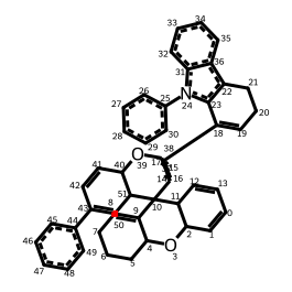 C1=CC2OC3CCCC=C3C3(C2C=C1)C1C=CC(C2=CCCc4c2n(-c2ccccc2)c2ccccc42)=CC1OC1C=CC(c2ccccc2)=CC13